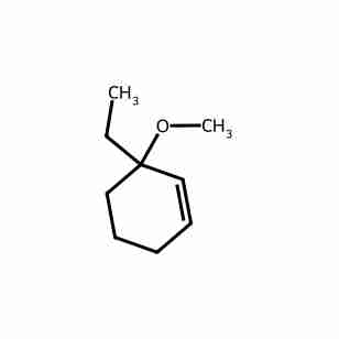 CCC1(OC)C=CCCC1